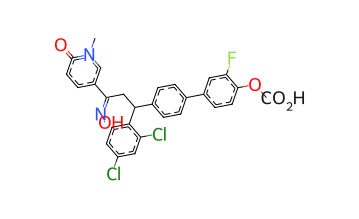 Cn1cc(/C(CC(c2ccc(-c3ccc(OC(=O)O)c(F)c3)cc2)c2ccc(Cl)cc2Cl)=N/O)ccc1=O